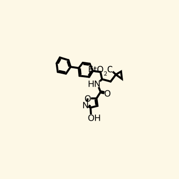 CCOC(=O)C1(CC(Cc2ccc(-c3ccccc3)cc2)NC(=O)c2cc(O)no2)CC1